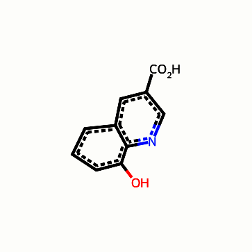 O=C(O)c1cnc2c(O)cccc2c1